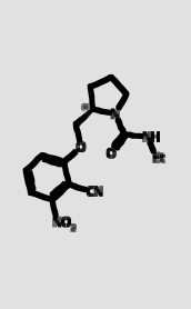 CCNC(=O)N1CCC[C@@H]1COc1cccc([N+](=O)[O-])c1C#N